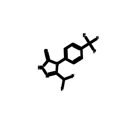 O=c1[nH]nc(C(F)F)n1-c1ccc(C(F)(F)F)cc1